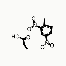 CCC(=O)O.Cc1ccc([N+](=O)[O-])cc1[N+](=O)[O-]